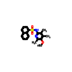 CCCCOc1c(C)nc(NS(=O)(=O)c2cccc3ccccc23)c(C)c1C